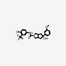 COc1cccc(C2(O)CC3CN(C(=O)Nc4ccc(Cl)c(C(F)(F)F)c4)CC3C2)c1